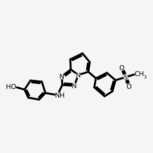 CS(=O)(=O)c1cccc(-c2cccc3nc(Nc4ccc(O)cc4)nn23)c1